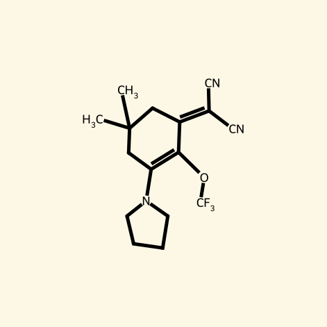 CC1(C)CC(=C(C#N)C#N)C(OC(F)(F)F)=C(N2CCCC2)C1